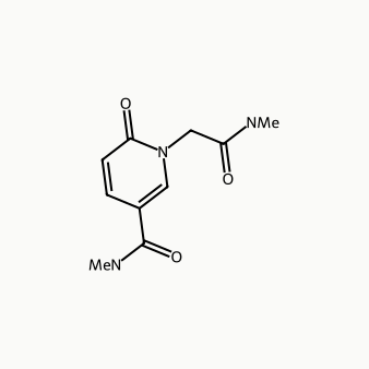 CNC(=O)Cn1cc(C(=O)NC)ccc1=O